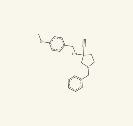 C#CC1(NCc2ccc(OC)cc2)CCN(Cc2ccccc2)C1